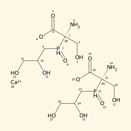 N[C@@](CO)(C(=O)[O-])[PH](=O)CC(O)CO.N[C@@](CO)(C(=O)[O-])[PH](=O)CC(O)CO.[Ca+2]